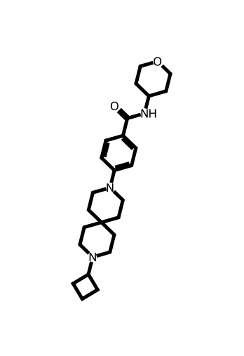 O=C(NC1CCOCC1)c1ccc(N2CCC3(CC2)CCN(C2CCC2)CC3)cc1